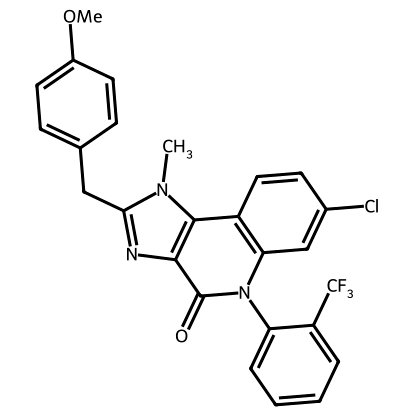 COc1ccc(Cc2nc3c(=O)n(-c4ccccc4C(F)(F)F)c4cc(Cl)ccc4c3n2C)cc1